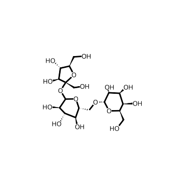 OC[C@H]1O[C@H](OC[C@H]2OC(O[C@@]3(CO)O[C@H](CO)[C@@H](O)[C@@H]3O)[C@H](O)[C@@H](O)[C@@H]2O)[C@H](O)[C@@H](O)[C@H]1O